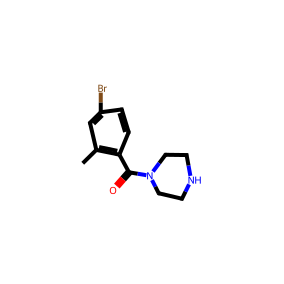 Cc1cc(Br)ccc1C(=O)N1CCNCC1